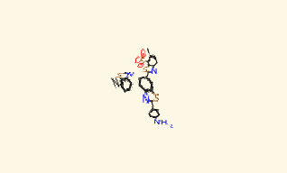 Cc1ccc2nc(-c3ccc4nc(-c5ccc(N)cc5)sc4c3)sc2c1S(=O)(=O)[O-].[Na+].c1ccc2scnc2c1